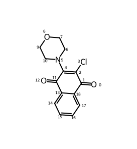 O=C1C(Cl)=C(N2CCOCC2)C(=O)c2ccccc21